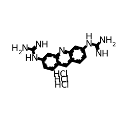 Cl.Cl.Cl.N=C(N)Nc1ccc2cc3ccc(NC(=N)N)cc3nc2c1